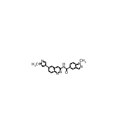 Cn1cc(-c2ccc3nnc(NC(=O)c4ccc5c(cnn5C)c4)cc3c2)cn1